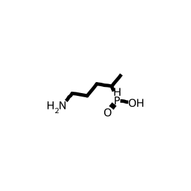 CC(CCCN)[PH](=O)O